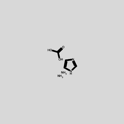 N.N.O=C(O)O.c1c[nH]cn1